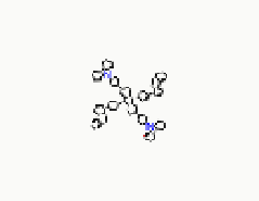 c1ccc2c(c1)ccc1c(-c3ccc(-c4c5ccc(-c6ccc(-n7c8ccccc8c8ccccc87)cc6)cc5c(-c5ccc(-c6cccc7c6ccc6ccccc67)cc5)c5ccc(-c6ccc(-n7c8ccccc8c8ccccc87)cc6)cc45)cc3)cccc12